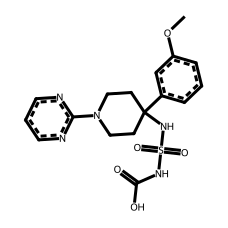 COc1cccc(C2(NS(=O)(=O)NC(=O)O)CCN(c3ncccn3)CC2)c1